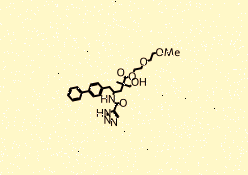 COCCOCCOC(=O)C(C)(CO)CC(Cc1ccc(-c2ccccc2)cc1)NC(=O)c1cnn[nH]1